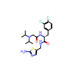 CC(C)N(CC(=O)N[C@@H](Cc1ccc(F)c(F)c1)C(=O)NCc1cnc(N)s1)C(C)C